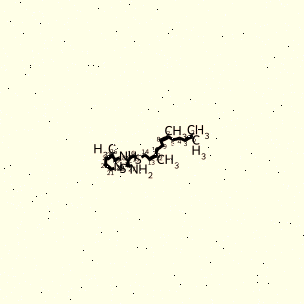 CC(C)=CCCC(C)=CCCC(C)=CCSCC(Nc1ncccc1C)C(N)=S